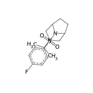 CC(C)N1CC2CCC(C1)N2S(=O)(=O)c1ccc(F)cc1